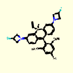 C=C[Si]1(C)C2=CC(=[N+]3CC(F)C3)C=CC2=C(c2c(OC)cc(C(C)=O)cc2OC)c2ccc(N3CC(F)C3)cc21